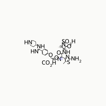 Cc1sc(N)nc1/C(=N/O[C@@H](COc1ccc(C(=N)NC2CCNCC2)cc1)C(=O)O)C(=O)N[C@@H]1C(=O)N(S(=O)(=O)O)[C@H]1C